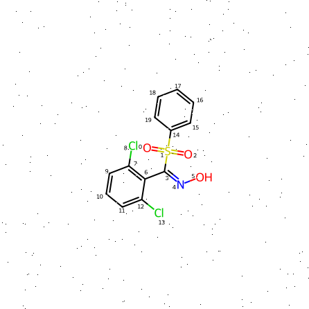 O=S(=O)(C(=NO)c1c(Cl)cccc1Cl)c1ccccc1